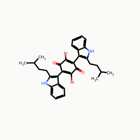 CC(C)CCc1[nH]c2ccccc2c1C1=C(Br)C(=O)C(c2c(CCC(C)C)[nH]c3ccccc23)=C(Br)C1=O